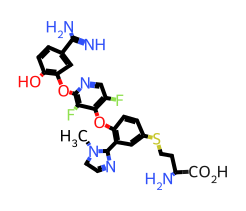 CN1CC=NC1c1cc(SCCC(N)C(=O)O)ccc1Oc1c(F)cnc(Oc2cc(C(=N)N)ccc2O)c1F